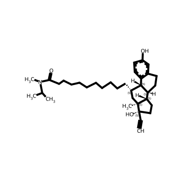 C#C[C@]1(O)CC[C@H]2[C@@H]3CCc4cc(O)ccc4[C@H]3[C@@H](CCCCCCCCCCC(=O)N(C)C(C)C)C[C@@]21C